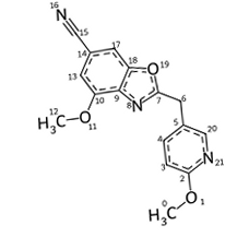 COc1ccc(Cc2nc3c(OC)cc(C#N)cc3o2)cn1